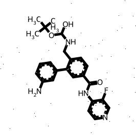 CC(C)(C)OC(O)NCc1ccc(C(=O)Nc2ccncc2F)cc1-c1cccc(N)c1